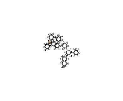 c1ccc(-c2cc(-c3cccc(-c4ccc5c(c4)C4(c6ccccc6-c6ccccc64)c4sc6ccccc6c4-5)c3)cc(-c3ccc4ccccc4c3)c2)cc1